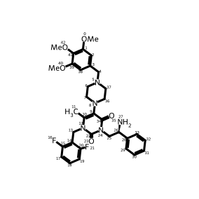 COc1cc(CN2CCN(c3c(C)n(Cc4c(F)cccc4F)c(=O)n(C[C@@H](N)c4ccccc4)c3=O)CC2)cc(OC)c1OC